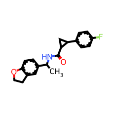 CC(NC(=O)C1CC1c1ccc(F)cc1)c1ccc2c(c1)CCO2